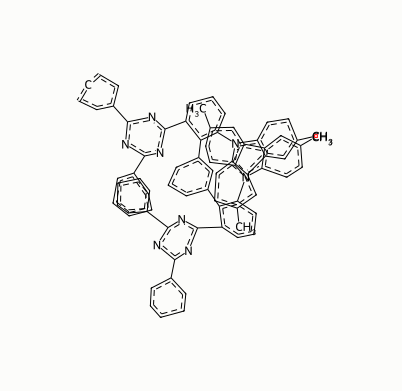 Cc1ccc2c(c1)c1cc(C)ccc1n2-c1cccc(-c2nc(-c3ccccc3)nc(-c3ccccc3)n2)c1-c1cccc(-c2c(-c3nc(-c4ccccc4)nc(-c4ccccc4)n3)cccc2-n2c3ccc(C)cc3c3cc(C)ccc32)c1